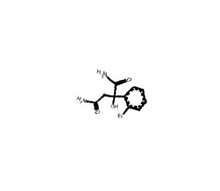 CCc1ccccc1C(O)(CC(N)=O)C(N)=O